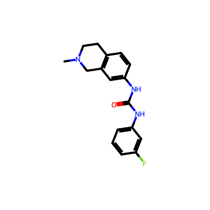 CN1CCc2ccc(NC(=O)Nc3cccc(F)c3)cc2C1